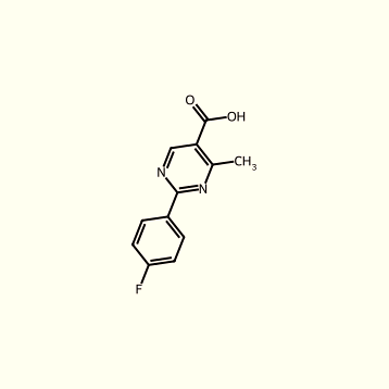 Cc1nc(-c2ccc(F)cc2)ncc1C(=O)O